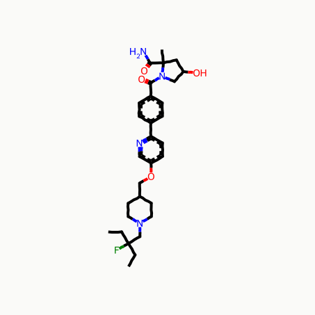 CCC(F)(CC)CN1CCC(COc2ccc(-c3ccc(C(=O)N4CC(O)CC4(C)C(N)=O)cc3)nc2)CC1